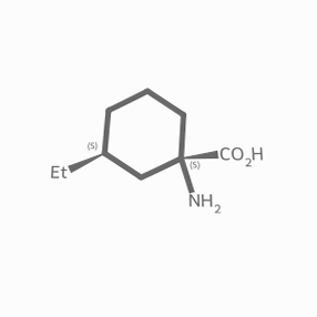 CC[C@H]1CCC[C@@](N)(C(=O)O)C1